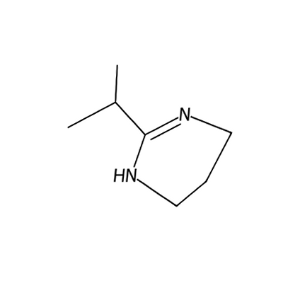 CC(C)C1=NCCCN1